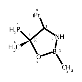 CB1NC(C(C)C)[C@@](C)(P)O1